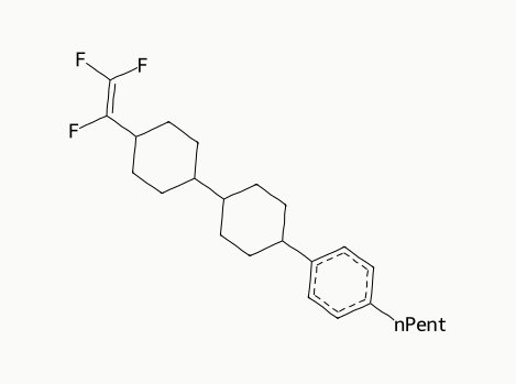 CCCCCc1ccc(C2CCC(C3CCC(C(F)=C(F)F)CC3)CC2)cc1